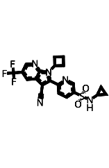 N#Cc1c(-c2ccc(S(=O)(=O)NC3CC3)cn2)n(C2CCC2)c2ncc(C(F)(F)F)cc12